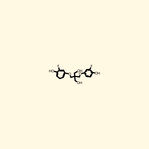 OCC(CO)(COC1=CCC=C(O)C(F)=C1)COc1ccc(O)c(F)c1